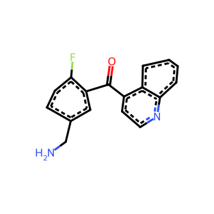 NCc1ccc(F)c(C(=O)c2ccnc3ccccc23)c1